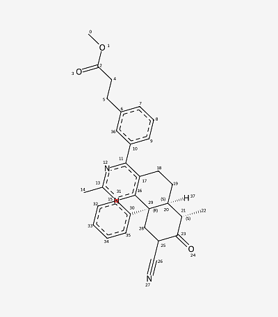 COC(=O)CCc1cccc(-c2nc(C)nc3c2CC[C@H]2[C@H](C)C(=O)C(C#N)C[C@@]32c2ccccc2)c1